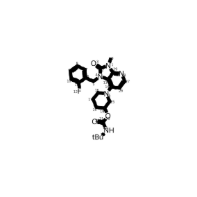 Cn1c(=O)n(Cc2ccccc2F)c2c(N3CCCC(OC(=O)NC(C)(C)C)C3)ccnc21